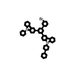 Brc1cccc(-c2cc(-c3ccc4c(c3)c3ccccc3n4-c3ccccc3)cc(-c3ccc4c(c3)c3ccccc3n4-c3ccc(-c4ccccc4)cc3)c2)c1